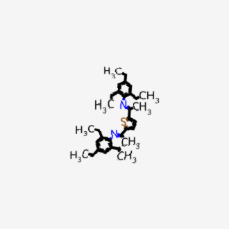 CCc1cc(CC)c(N=C(C)c2ccc(C(C)=Nc3c(CC)cc(CC)cc3CC)s2)c(CC)c1